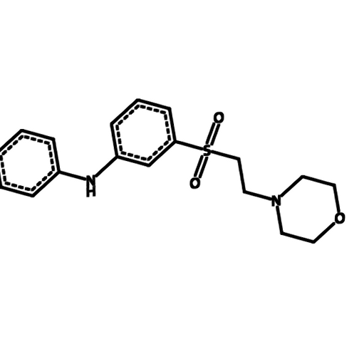 O=S(=O)(CCN1CCOCC1)c1cccc(Nc2ccccc2)c1